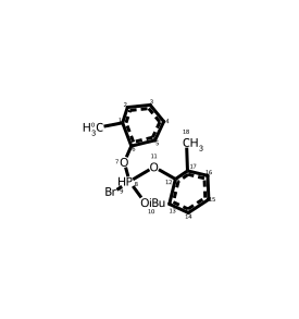 Cc1ccccc1O[PH](Br)(OCC(C)C)Oc1ccccc1C